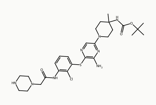 CC1(NC(=O)OC(C)(C)C)CCN(c2cnc(Sc3cccc(NC(=O)CN4CCNCC4)c3Cl)c(N)n2)CC1